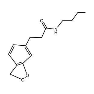 CCCCNC(=O)CCc1ccc2c(c1)OOC2